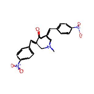 CN1C/C(=C\c2ccc([N+](=O)[O-])cc2)C(=O)/C(=C/c2ccc([N+](=O)[O-])cc2)C1